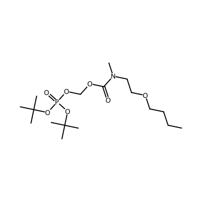 CCCCOCCN(C)C(=O)OCOP(=O)(OC(C)(C)C)OC(C)(C)C